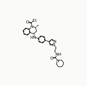 CCC(=O)N1c2ccccc2[C@H](Nc2ccc(-c3cnn(CCNC(=O)N4CCCCC4)c3)cc2)C[C@@H]1C